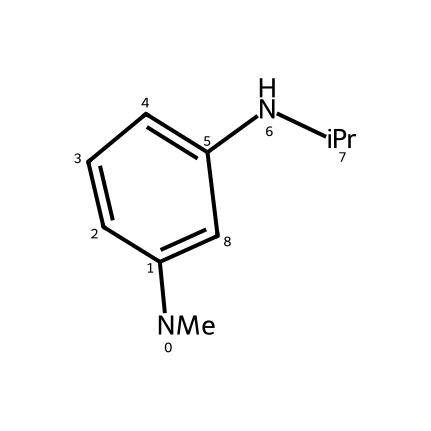 CNc1cccc(NC(C)C)c1